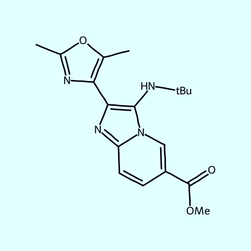 COC(=O)c1ccc2nc(-c3nc(C)oc3C)c(NC(C)(C)C)n2c1